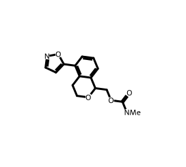 CNC(=O)OCC1OCCc2c(-c3ccno3)cccc21